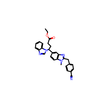 CCOC(=O)CCC(c1ccc2c(c1)nc(Cc1ccc(C#N)cc1)n2C)n1cnc2ccccc21